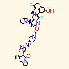 C#Cc1c(F)ccc2cc(O)cc(-c3ncc4c(N5CC6CCC(C5)N6)nc(OCCN5CCC6(CC5)CN(c5cc(C(C(=O)N7CCCC7C)C(C)C)on5)C6)nc4c3F)c12